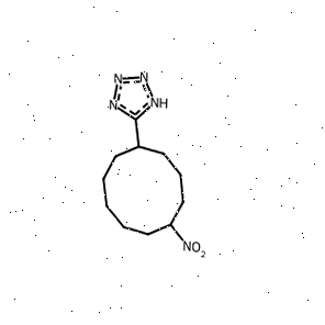 O=[N+]([O-])C1CCCCCC(c2nnn[nH]2)CCC1